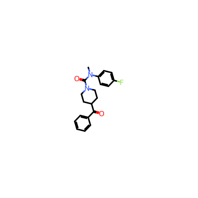 CN(C(=O)N1CCC(C(=O)c2ccccc2)CC1)c1ccc(F)cc1